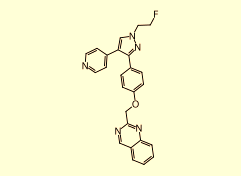 FCCn1cc(-c2ccncc2)c(-c2ccc(OCc3ncc4ccccc4n3)cc2)n1